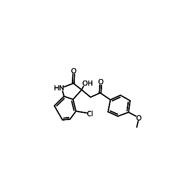 COc1ccc(C(=O)CC2(O)C(=O)Nc3cccc(Cl)c32)cc1